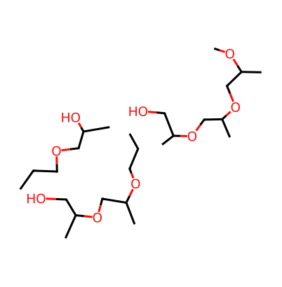 CCCOC(C)COC(C)CO.CCCOCC(C)O.COC(C)COC(C)COC(C)CO